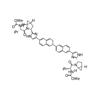 COC(=O)N[C@H](C(=O)N1[C@@H]2C[C@@H]2C[C@H]1c1nc(-c2ccc3c(c2)=CCC(c2ccc4cc(-c5c[nH]c([C@@H]6C[C@H]7C[C@H]7N6C(=O)[C@@H](NC(=O)OC)C(C)C)n5)ccc4c2)C=3)c[nH]1)C(C)C